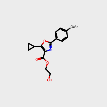 COc1ccc(-c2nc(C(=O)OCCO)c(C3CC3)o2)cc1